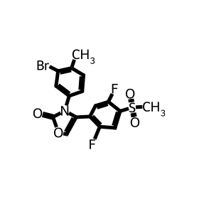 Cc1ccc(-n2c(-c3cc(F)c(S(C)(=O)=O)cc3F)coc2=O)cc1Br